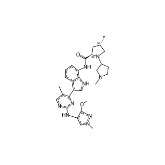 COc1nn(C)cc1Nc1ncc(C)c(-c2c[nH]c3c(NC(=O)[C@H]4C[C@H](F)CN4C4CCN(C)C4)cccc23)n1